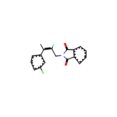 CC(=C(F)CN1C(=O)c2ccccc2C1=O)c1cccc(Cl)c1